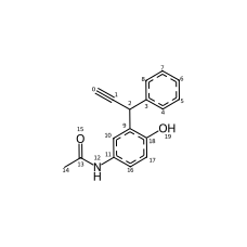 C#CC(c1ccccc1)c1cc(NC(C)=O)ccc1O